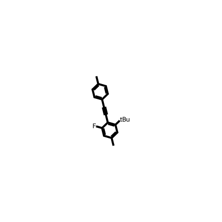 Cc1ccc(C#Cc2c(F)cc(C)cc2C(C)(C)C)cc1